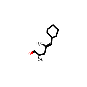 C/C(=C\C1CCCCC1)C[C@@H](C)C=O